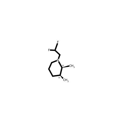 C[C@H]1CCCN(CC(F)F)[C@H]1C